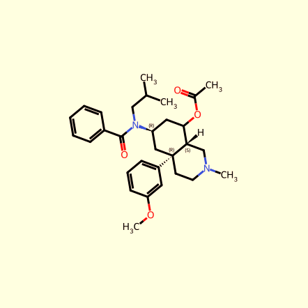 COc1cccc([C@@]23CCN(C)C[C@H]2C(OC(C)=O)C[C@H](N(CC(C)C)C(=O)c2ccccc2)C3)c1